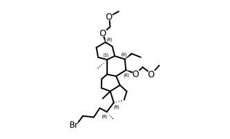 CC[C@@H]1C2C[C@H](OCOC)CC[C@]2(C)C2CCC3(C)C(CC[C@@H]3[C@H](C)CCCBr)C2[C@@H]1OCOC